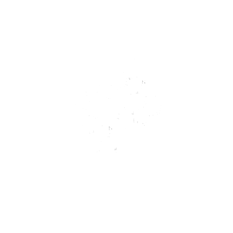 c1ccc(-c2ccc3c4ccccc4n(-c4ccc5c(c4)oc4cccc(-c6cc(-c7ccccc7)c7ccccc7n6)c45)c3c2)cc1